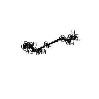 O=C(CCCCCCCCCOP(=O)(O)OCC1OC(n2cc(Br)c(=O)[nH]c2=O)CC1O)NC/C=C/c1cn(C2CC(O)C(COP(=O)(O)OP(=O)(O)OP(=O)(O)O)O2)c(=O)[nH]c1=O